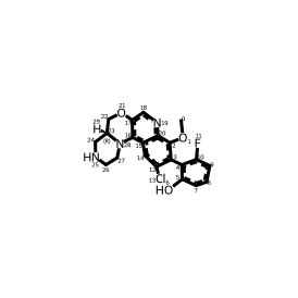 COc1c(-c2c(O)cccc2F)c(Cl)cc2c3c(cnc12)OC[C@H]1CNCCN31